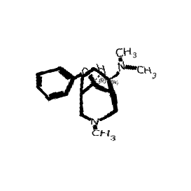 CN1CC2CC[C@@H](N(C)C)C(C1)[C@@H]2Oc1ccccc1